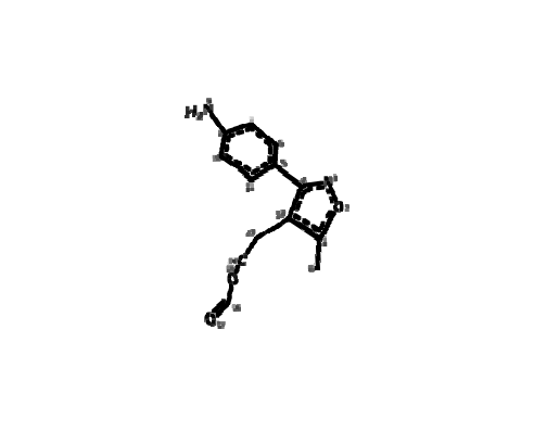 Cc1onc(-c2ccc(N)cc2)c1CCOC=O